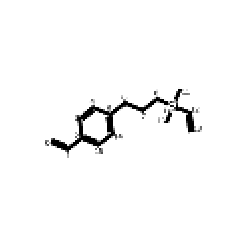 C=Cc1ccc(CCC[Si](C)(C)C=C)cc1